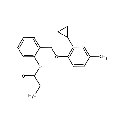 CCC(=O)Oc1ccccc1COc1ccc(C)cc1C1CC1